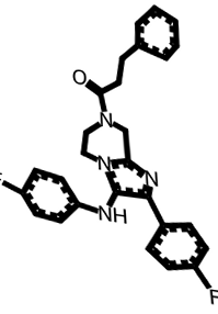 O=C(CCc1ccccc1)N1CCn2c(nc(-c3ccc(F)cc3)c2Nc2ccc(F)cc2)C1